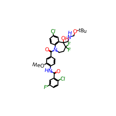 COc1cc(C(=O)N2CCC(F)(F)C(O)(CNCOC(C)(C)C)c3cc(Cl)ccc32)ccc1NC(=O)c1cc(F)ccc1Cl